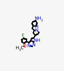 COc1ccc(F)cc1-c1ncnc2[nH]c(C3=CCNC(Cc4ccc(N)cc4)C3)cc12